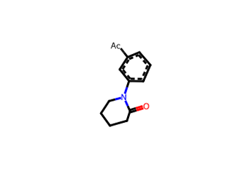 CC(=O)c1cccc(N2CCCCC2=O)c1